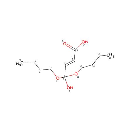 CCCCOC(O)(C=CC(=O)O)OCCCC